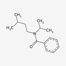 CC(C)CCN(C(=O)c1ccccc1)C(C)C